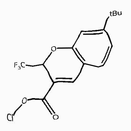 CC(C)(C)c1ccc2c(c1)OC(C(F)(F)F)C(C(=O)OCl)=C2